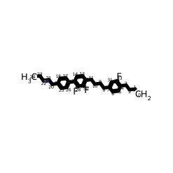 C=CCCc1ccc(CCCCc2ccc(-c3ccc(C/C=C/CC)cc3)c(F)c2F)cc1F